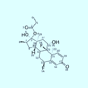 CCC(=O)O[C@]1(O)[C@H](C)C[C@H]2C3C[C@H](F)C4=CC(=O)C=C[C@]4(C)[C@@]3(F)[C@@H](O)C[C@@]21C